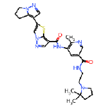 Cc1ncc(C(=O)NCCN2CCCC2(C)C)cc1NC(=O)c1cnn2cc(-c3cnn4c3CCC4)sc12